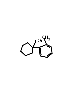 [CH2]c1ccccc1C1(CCCCCCCC)CCCCC1